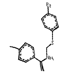 C=C(NCSc1ccc(CC)cc1)c1ccc(C)cc1